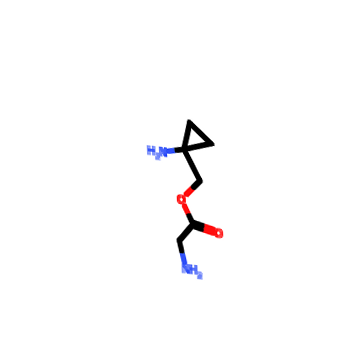 NCC(=O)OCC1(N)CC1